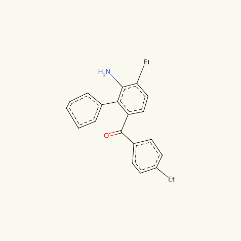 CCc1ccc(C(=O)c2ccc(CC)c(N)c2-c2ccccc2)cc1